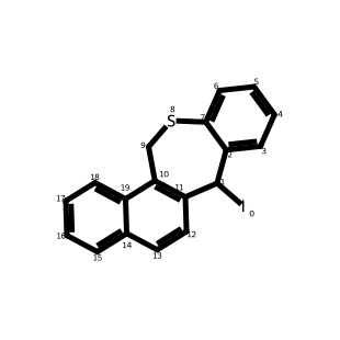 IC1c2ccccc2SCc2c1ccc1ccccc21